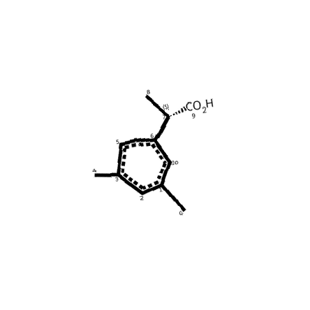 Cc1cc(C)cc([C@H](C)C(=O)O)c1